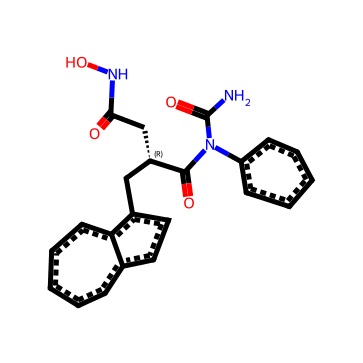 NC(=O)N(C(=O)[C@@H](CC(=O)NO)Cc1ccc2cccccc1-2)c1ccccc1